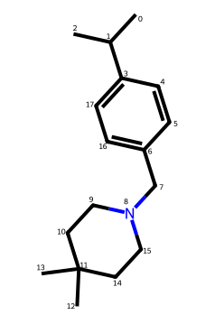 CC(C)c1ccc(CN2CCC(C)(C)CC2)cc1